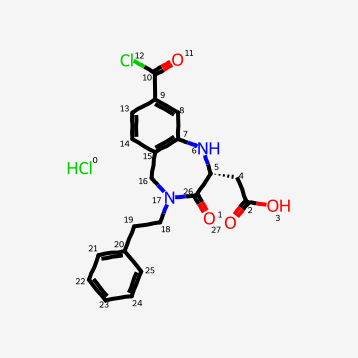 Cl.O=C(O)C[C@H]1Nc2cc(C(=O)Cl)ccc2CN(CCc2ccccc2)C1=O